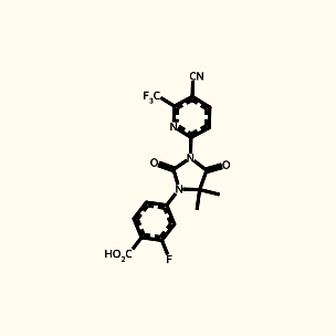 CC1(C)C(=O)N(c2ccc(C#N)c(C(F)(F)F)n2)C(=O)N1c1ccc(C(=O)O)c(F)c1